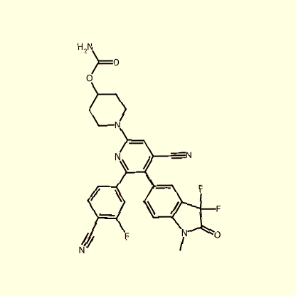 CN1C(=O)C(F)(F)c2cc(-c3c(C#N)cc(N4CCC(OC(N)=O)CC4)nc3-c3ccc(C#N)c(F)c3)ccc21